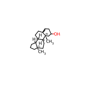 C[C@@]12CCC[C@H]1[C@@H]1CCC3=CCC(O)C[C@]3(C)[C@H]1CC2